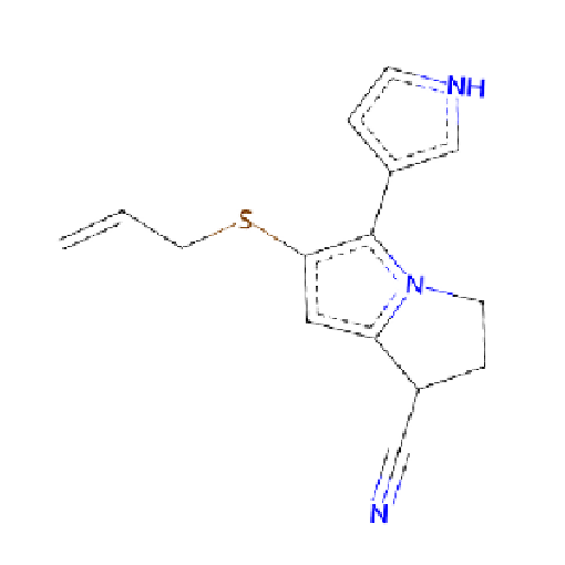 C=CCSc1cc2n(c1-c1cc[nH]c1)CCC2C#N